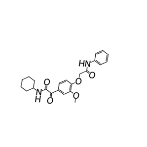 COc1cc(C(=O)C(=O)NC2CCCCC2)ccc1OCC(=O)Nc1ccccc1